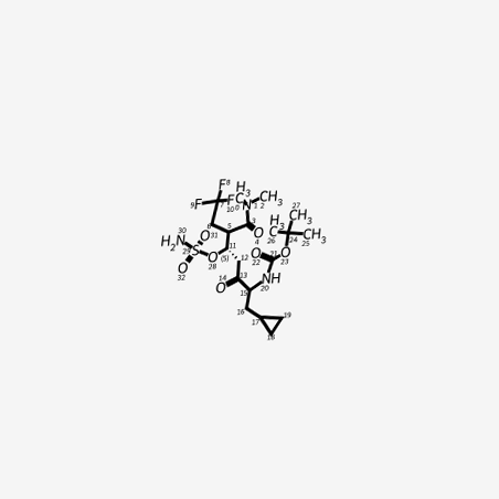 CN(C)C(=O)C(CC(F)(F)F)[C@H](CC(=O)C(CC1CC1)NC(=O)OC(C)(C)C)OS(N)(=O)=O